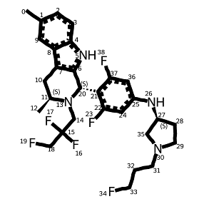 Cc1ccc2[nH]c3c(c2c1)C[C@H](C)N(CC(F)(F)CF)[C@H]3c1c(F)cc(N[C@H]2CCN(CCCF)C2)cc1F